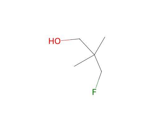 CC(C)(CO)CF